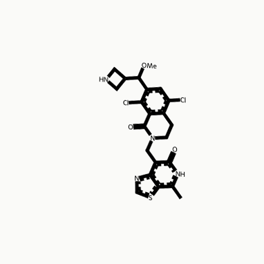 COC(c1cc(Cl)c2c(c1Cl)C(=O)N(Cc1c(=O)[nH]c(C)c3scnc13)CC2)C1CNC1